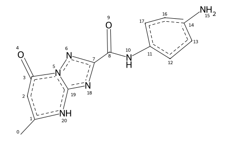 Cc1cc(=O)n2nc(C(=O)Nc3ccc(N)cc3)nc2[nH]1